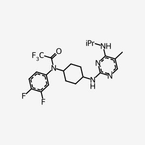 Cc1cnc(NC2CCC(N(C(=O)C(F)(F)F)c3ccc(F)c(F)c3)CC2)nc1NC(C)C